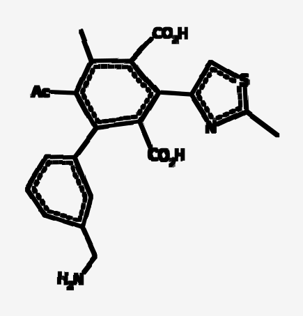 CC(=O)c1c(C)c(C(=O)O)c(-c2csc(C)n2)c(C(=O)O)c1-c1cccc(CN)c1